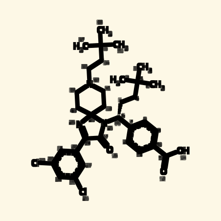 CC(C)(C)CC[C@H](c1ccc(C(=O)O)cc1)N1C(=O)C(c2cc(Cl)cc(Cl)c2)=NC12CCN(CCC(C)(C)C)CC2